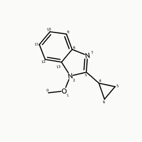 COn1c(C2CC2)nc2ccccc21